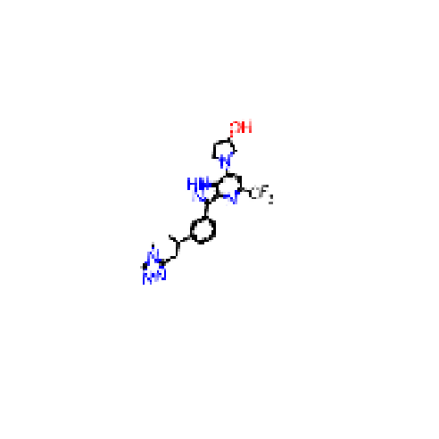 CC(Cc1nncn1C)c1cccc(-c2n[nH]c3c(N4CCC(O)C4)cc(C(F)(F)F)nc23)c1